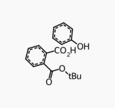 CC(C)(C)OC(=O)c1ccccc1C(=O)O.Oc1ccccc1